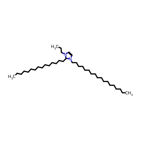 CCCCCCCCCCCCCCCCCCN1C=CN(CCC)C1CCCCCCCCCCCCCCC